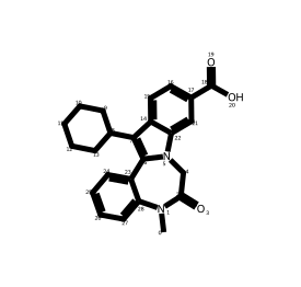 CN1C(=O)Cn2c(c(C3CCCCC3)c3ccc(C(=O)O)cc32)-c2ccccc21